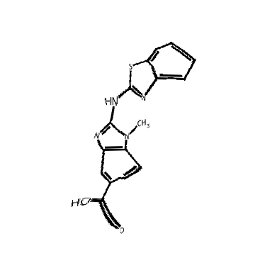 Cn1c(Nc2nc3ccccc3s2)nc2cc(C(=O)O)ccc21